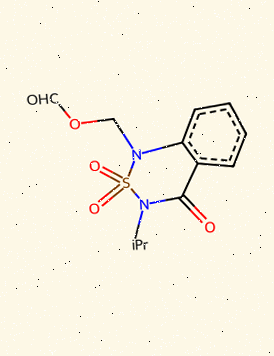 CC(C)N1C(=O)c2ccccc2N(COC=O)S1(=O)=O